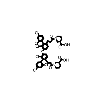 O=C(O)C1CCCN(C(=O)/C=C/c2ccc(Sc3ccc(/C=C/C(=O)N4CCCC(C(=O)O)C4)c(-c4ccc(Cl)cc4Cl)c3Cl)c(Cl)c2-c2ccc(Cl)cc2Cl)C1